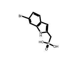 O=P(O)(O)Cc1cc2ccc(Br)cc2[nH]1